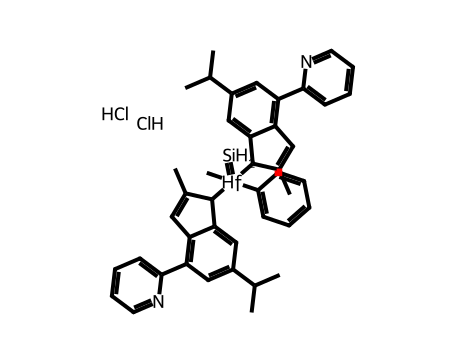 CC1=Cc2c(-c3ccccn3)cc(C(C)C)cc2[CH]1[Hf]([CH3])(=[SiH2])([c]1ccccc1)[CH]1C(C)=Cc2c(-c3ccccn3)cc(C(C)C)cc21.Cl.Cl